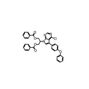 O=C(OCC(COC(=O)c1ccccc1)n1cc(-c2ccc(Oc3ccccc3)cc2)c2c(Cl)ncnc21)c1ccccc1